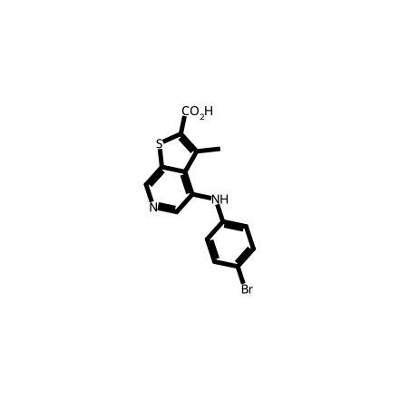 Cc1c(C(=O)O)sc2cncc(Nc3ccc(Br)cc3)c12